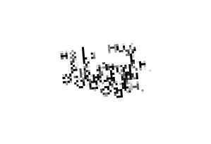 C=C(CSC(C)(C)C)c1ccccc1.C=C(CSCC(=O)O)c1ccccc1.C=C(CSCCC(=O)O)c1ccccc1.C=C(CSCCCC)c1ccccc1.C=C(CSCCN)c1ccccc1.C=C(CSCCO)c1ccccc1